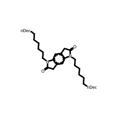 CCCCCCCCCCCCCCCCN1C(=O)Cc2cc3c(cc21)CC(=O)N3CCCCCCCCCCCCCCCC